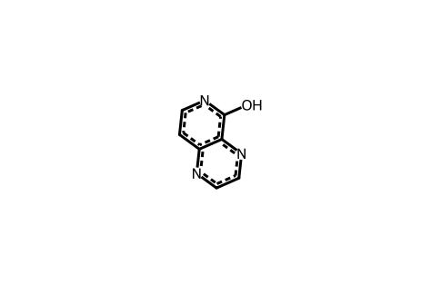 Oc1nccc2nccnc12